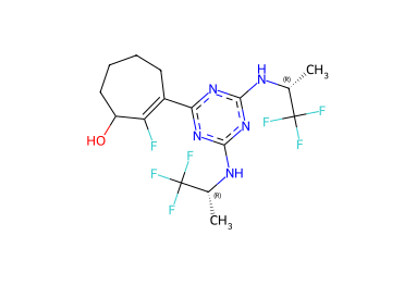 C[C@@H](Nc1nc(N[C@H](C)C(F)(F)F)nc(C2=C(F)C(O)CCCC2)n1)C(F)(F)F